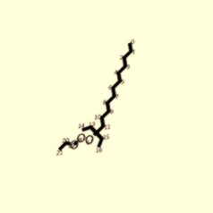 CCCCCCCCCCCCC(CC)(CC)OOOCC